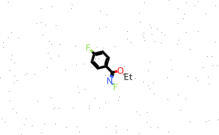 CCOC(=NF)c1ccc(F)cc1